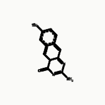 CC(C)(C)c1ccc2c(c1)=CC1C(=O)N=C(N)N=C1C=2